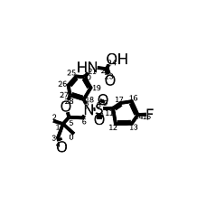 CC(C)(C=O)C1CN(S(=O)(=O)c2ccc(F)cc2)c2cc(NC(=O)O)ccc2O1